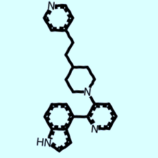 c1cnc(-c2cccc3[nH]ccc23)c(N2CCC(CCc3ccncc3)CC2)c1